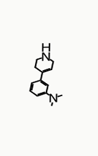 CN(C)c1cccc(C2=CCNCC2)c1